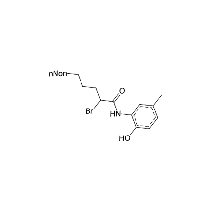 CCCCCCCCCCCCC(Br)C(=O)Nc1cc(C)ccc1O